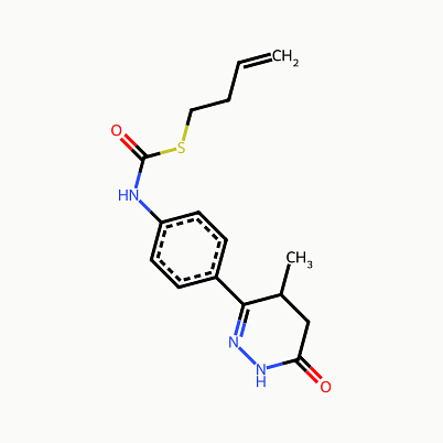 C=CCCSC(=O)Nc1ccc(C2=NNC(=O)CC2C)cc1